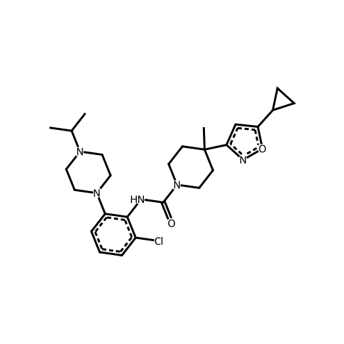 CC(C)N1CCN(c2cccc(Cl)c2NC(=O)N2CCC(C)(c3cc(C4CC4)on3)CC2)CC1